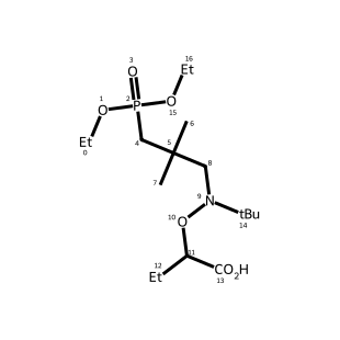 CCOP(=O)(CC(C)(C)CN(OC(CC)C(=O)O)C(C)(C)C)OCC